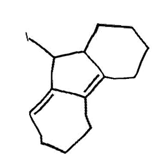 IC1C2=CCCCC2=C2CCCCC21